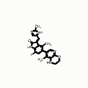 Cc1ncc(/C=C2\C(=O)Nc3c(F)cc(-c4cnc5c(c4C)NCCO5)c(C)c32)[nH]1